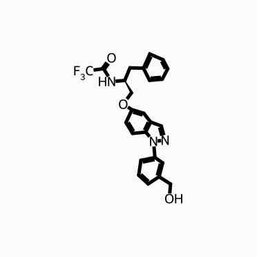 O=C(N[C@H](COc1ccc2c(cnn2-c2cccc(CO)c2)c1)Cc1ccccc1)C(F)(F)F